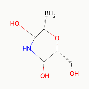 B[C@@H]1O[C@H](CO)C(O)NC1O